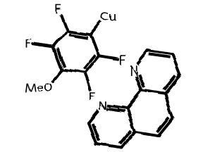 COc1c(F)c(F)[c]([Cu])c(F)c1F.c1cnc2c(c1)ccc1cccnc12